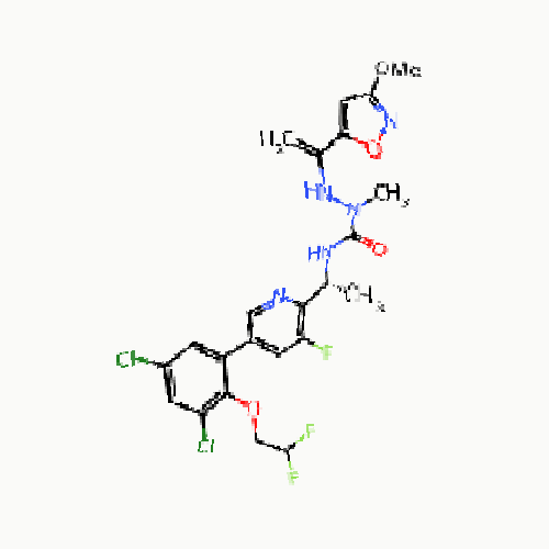 C=C(NN(C)C(=O)N[C@H](C)c1ncc(-c2cc(Cl)cc(Cl)c2OCC(F)F)cc1F)c1cc(OC)no1